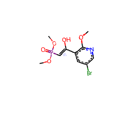 COc1ncc(Br)cc1/C(O)=C/P(=O)(OC)OC